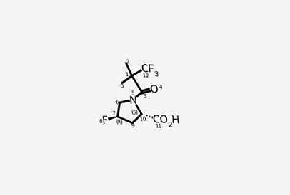 CC(C)(C(=O)N1C[C@H](F)C[C@H]1C(=O)O)C(F)(F)F